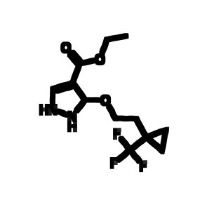 CCOC(=O)C1=CNNC1OCCC1(C(F)(F)F)CC1